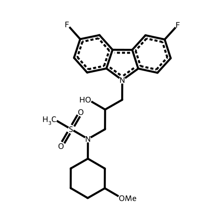 COC1CCCC(N(CC(O)Cn2c3ccc(F)cc3c3cc(F)ccc32)S(C)(=O)=O)C1